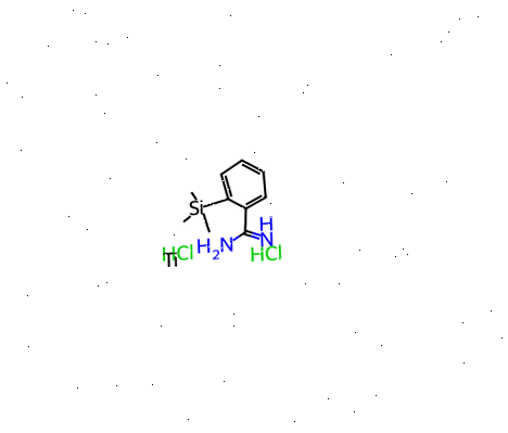 C[Si](C)(C)c1ccccc1C(=N)N.Cl.Cl.[Ti]